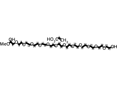 C=CC(=O)O.COC(O)COCCOCCOCCOCCOCCOCCOCCOCCOCCOCCOCCOCCO